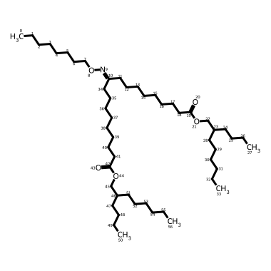 CCCCCCCCON=C(CCCCCCCCC(=O)OCC(CCCC)CCCCCC)CCCCCCCCC(=O)OCC(CCCC)CCCCCC